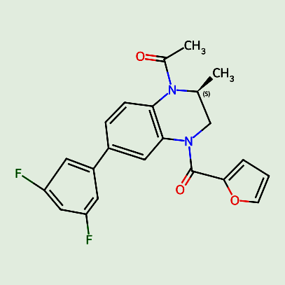 CC(=O)N1c2ccc(-c3cc(F)cc(F)c3)cc2N(C(=O)c2ccco2)C[C@@H]1C